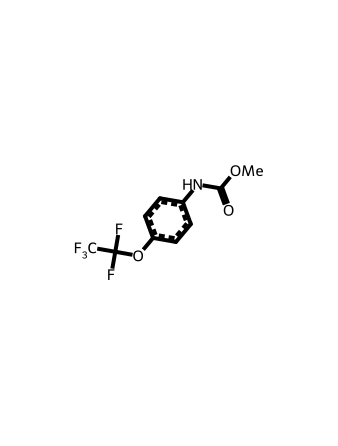 [CH2]OC(=O)Nc1ccc(OC(F)(F)C(F)(F)F)cc1